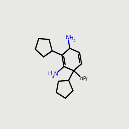 CCCC1(C2CCCC2)C=CC(N)C(C2CCCC2)=C1N